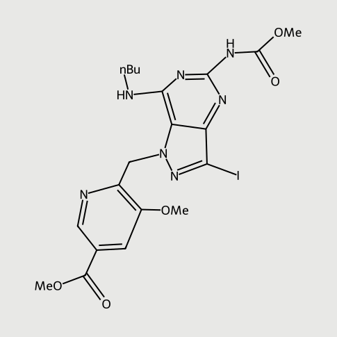 CCCCNc1nc(NC(=O)OC)nc2c(I)nn(Cc3ncc(C(=O)OC)cc3OC)c12